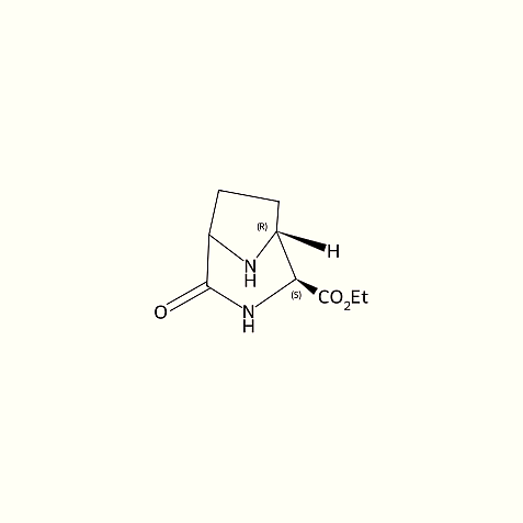 CCOC(=O)[C@H]1NC(=O)C2CC[C@H]1N2